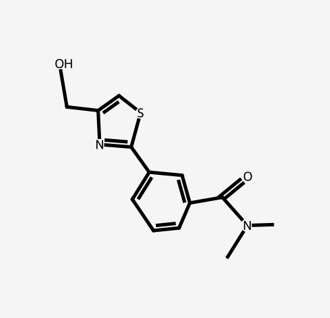 CN(C)C(=O)c1cccc(-c2nc(CO)cs2)c1